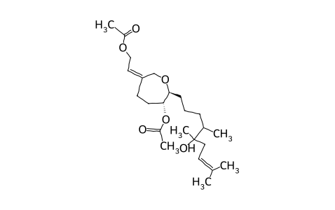 CC(=O)OCC=C1CC[C@@H](OC(C)=O)[C@H](CCCC(C)C(C)(O)CC=C(C)C)OC1